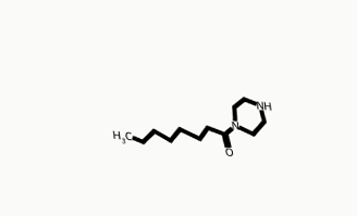 CCCCCCCC(=O)N1CCNCC1